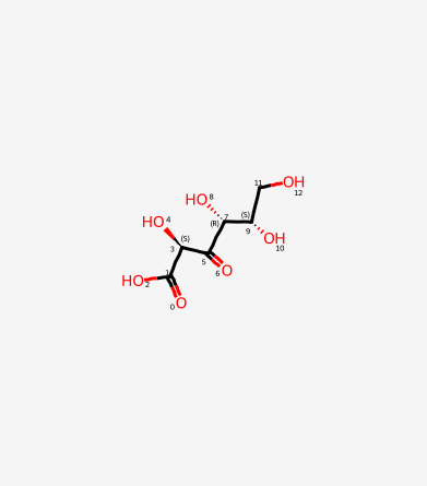 O=C(O)[C@@H](O)C(=O)[C@H](O)[C@@H](O)CO